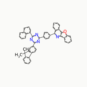 CC1(C)c2ccccc2-c2ccc(-c3nc(-c4ccc(-c5nc6c7ccccc7oc6c6ccccc56)cc4)nc(-c4cccc5ccccc45)n3)cc21